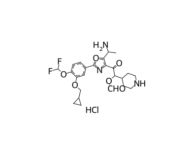 CC(N)c1oc(-c2ccc(OC(F)F)c(OCC3CC3)c2)nc1C(=O)C(OC=O)C1CCNCC1.Cl